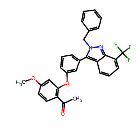 COc1ccc(C(C)=O)c(Oc2cccc(-c3c4cccc(C(F)(F)F)c4nn3Cc3ccccc3)c2)c1